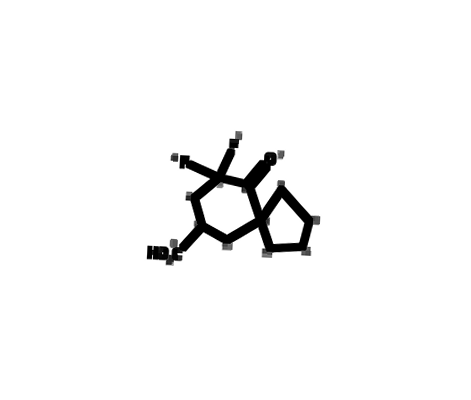 O=C(O)C1CC(F)(F)C(=O)C2(CCCC2)C1